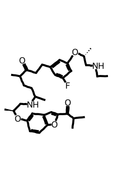 CCNC[C@@H](C)Oc1cc(F)cc(CCC(=O)C(C)CCC(C)NC[C@H](C)Oc2ccc3oc(C(=O)C(C)C)cc3c2)c1